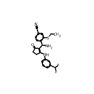 CCSc1cc(C#N)ccc1C(N)C1=C(Nc2cccc(C(F)F)c2)CCC1=O